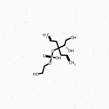 C=CCC(CC=C)(OP(=O)(O)OCCO)[C@@H](O)CO